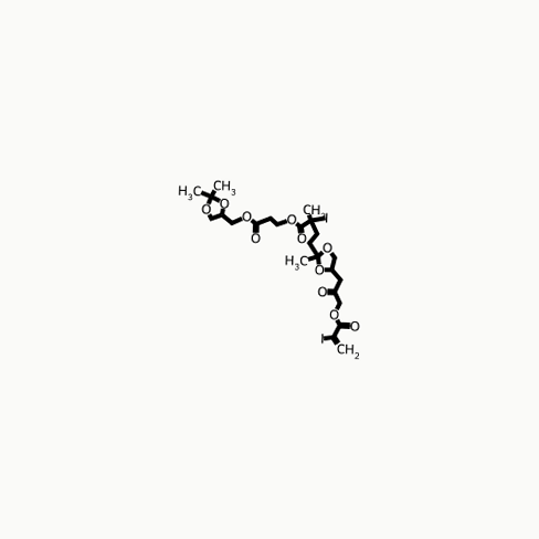 C=C(I)C(=O)OCC(=O)CC1COC(C)(CCC(C)(I)C(=O)OCCC(=O)OCC2COC(C)(C)O2)O1